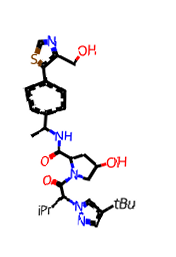 CC(NC(=O)C1CC(O)CN1C(=O)C(C(C)C)n1cc(C(C)(C)C)cn1)c1ccc(-c2scnc2CO)cc1